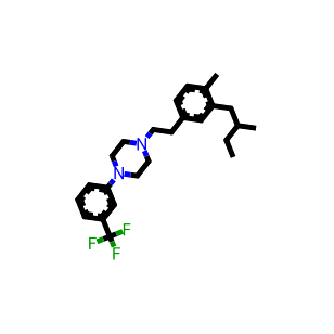 CCC(C)Cc1cc(CCN2CCN(c3cccc(C(F)(F)F)c3)CC2)ccc1C